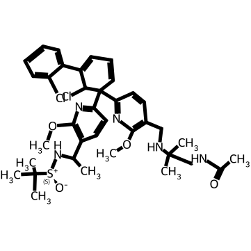 COc1nc(C2(c3ccc(C(C)N[S@+]([O-])C(C)(C)C)c(OC)n3)C=CC=C(c3ccccc3Cl)C2Cl)ccc1CNC(C)(C)CNC(C)=O